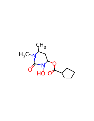 CC1CC(OC(=O)C2CCCC2)N(O)C(=O)N1C